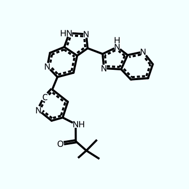 CC(C)(C)C(=O)Nc1cncc(-c2cc3c(-c4nc5cccnc5[nH]4)n[nH]c3cn2)c1